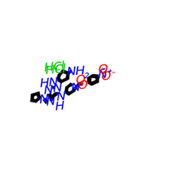 Cl.Cl.NC1CCC(Nc2nc(NC3CCN(C(=O)Oc4ccc([N+](=O)[O-])cc4)CC3)c3ncn(C4CCCC4)c3n2)CC1